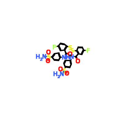 NS(=O)(=O)c1ccc(NC(=O)c2cc(F)ccc2SSc2ccc(F)cc2C(=O)Nc2ccc(S(N)(=O)=O)cc2)cc1